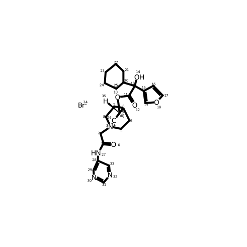 O=C(C[N+]12CCC(CC1)[C@@H](OC(=O)C(O)(c1ccoc1)C1CCCCC1)C2)Nc1cncnc1.[Br-]